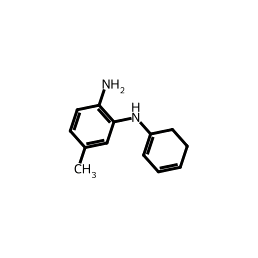 Cc1ccc(N)c(NC2=CC=CCC2)c1